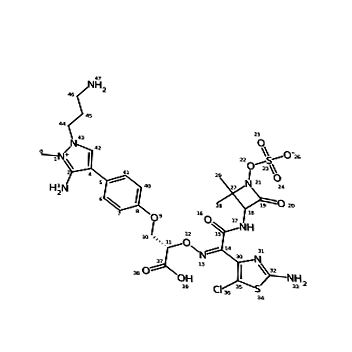 C[n+]1c(N)c(-c2ccc(OC[C@H](O/N=C(\C(=O)NC3C(=O)N(OS(=O)(=O)[O-])C3(C)C)c3nc(N)sc3Cl)C(=O)O)cc2)cn1CCCN